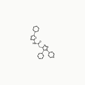 O=C(Cc1nnn(-c2ccncc2)c1-c1ccccc1)Nc1ncc(-c2ccccc2)s1